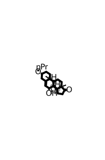 CCCOC1CC[C@@]2(C)C(=CC(O)[C@@H]3[C@H]2CC[C@]2(C)C(=O)CC[C@@H]32)C1